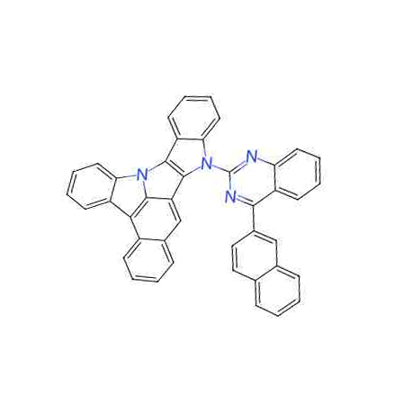 c1ccc2cc(-c3nc(-n4c5ccccc5c5c4c4cc6ccccc6c6c7ccccc7n5c46)nc4ccccc34)ccc2c1